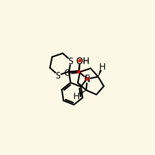 O=C(O)N1[C@@H]2CC[C@H]1C[C@](O)(C1(c3ccccc3F)SCCCS1)C2